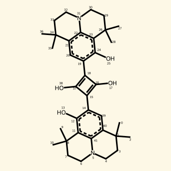 CC1(C)CCN2CCC(C)(C)c3c(O)c(C4=C(O)C(c5cc6c7c(c5O)C(C)(C)CCN7CCC6(C)C)=C4O)cc1c32